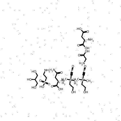 C[N+](C)(C#P=O)CCO.C[N+](C)(C#P=O)CCO.NC(=O)C[C@H](N)C(=O)O.NCC(=O)O.NCCS(=O)(=O)O.N[C@@H](CC(=O)O)C(=O)O.OCC(O)CO